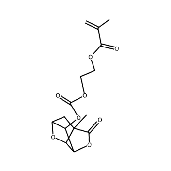 C=C(C)C(=O)OCCOC(=O)OC1C2CC3(C)C(=O)OC1C3O2